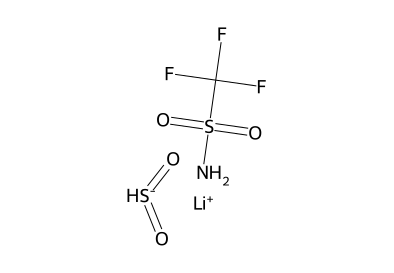 NS(=O)(=O)C(F)(F)F.O=[SH-]=O.[Li+]